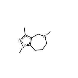 Cc1nn(C)c2c1CN(C)CCC2